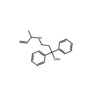 C=CC(C)NCCC(OC)(c1ccccc1)c1ccccc1